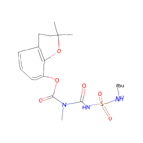 CCC(C)NS(=O)(=O)NC(=O)N(C)C(=O)Oc1cccc2c1OC(C)(C)C2